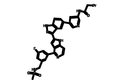 CC(C)CC(=O)Nc1cncc(-c2ccc3[nH]nc(-c4cc5c(-c6cc(F)cc(CNS(C)(=O)=O)c6)nccc5[nH]4)c3c2)c1